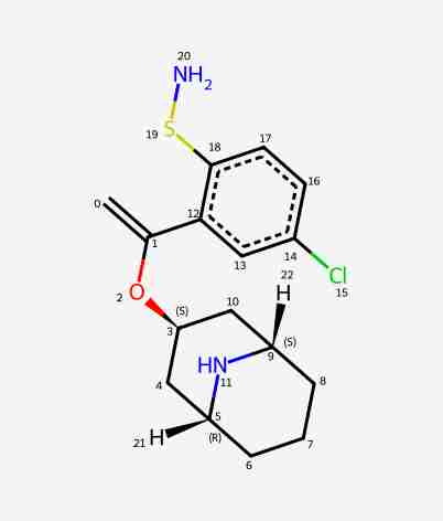 C=C(O[C@@H]1C[C@H]2CCC[C@@H](C1)N2)c1cc(Cl)ccc1SN